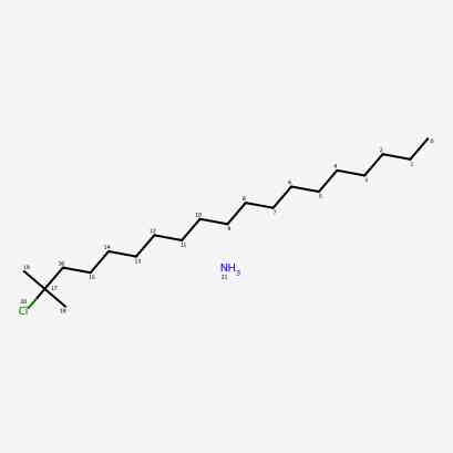 CCCCCCCCCCCCCCCCCC(C)(C)Cl.N